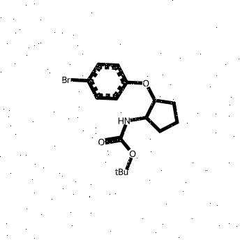 CC(C)(C)OC(=O)NC1CCCC1Oc1ccc(Br)cc1